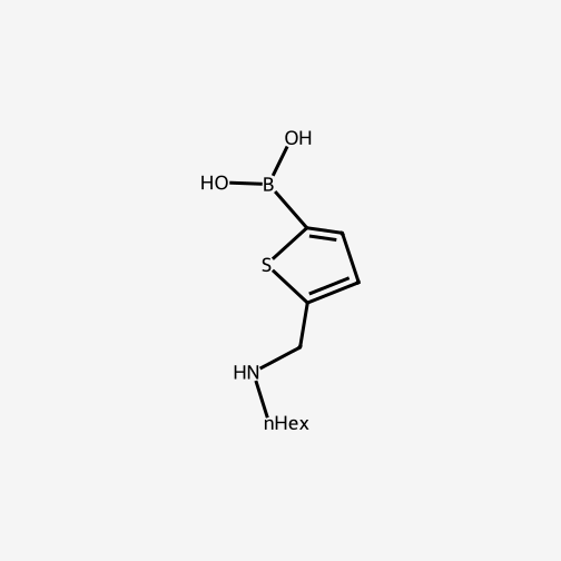 CCCCCCNCc1ccc(B(O)O)s1